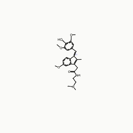 COc1ccc2c(c1)C(CC(=O)NCCN(C)C)=C(C)/C2=C/c1cc(OC)c(O)c(OC)c1